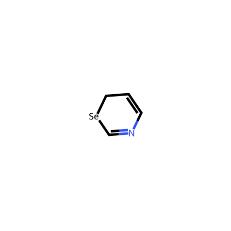 C1=CN=C[Se]C1